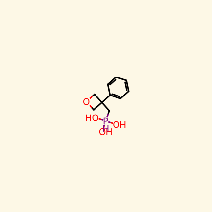 O[PH](O)(O)CC1(c2ccccc2)COC1